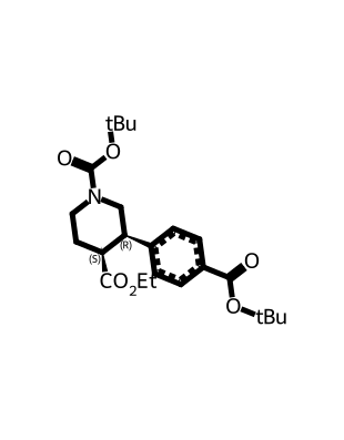 CCOC(=O)[C@H]1CCN(C(=O)OC(C)(C)C)C[C@H]1c1ccc(C(=O)OC(C)(C)C)cc1